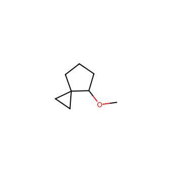 COC1CCCC12CC2